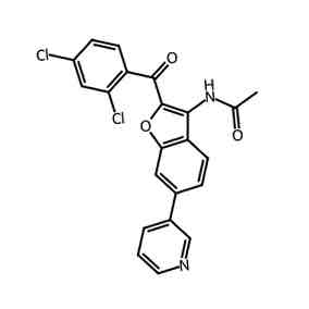 CC(=O)Nc1c(C(=O)c2ccc(Cl)cc2Cl)oc2cc(-c3cccnc3)ccc12